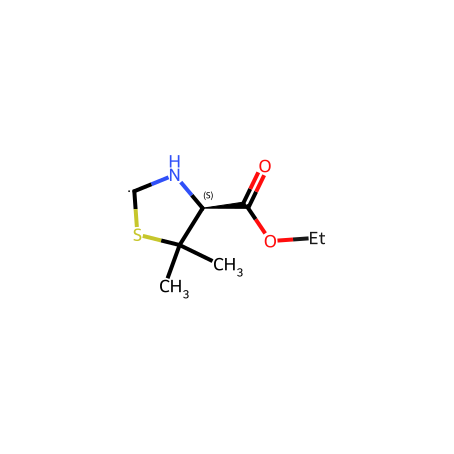 CCOC(=O)[C@@H]1N[CH]SC1(C)C